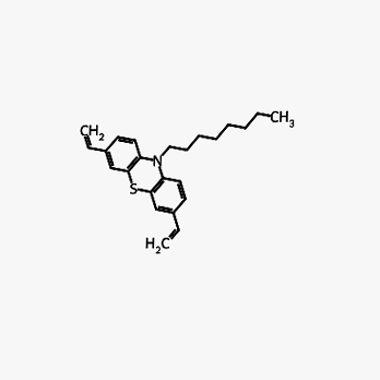 C=Cc1ccc2c(c1)Sc1cc(C=C)ccc1N2CCCCCCCC